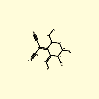 CC=C1C(=C(C#N)C#N)C(CC)CC(C)C1Cl